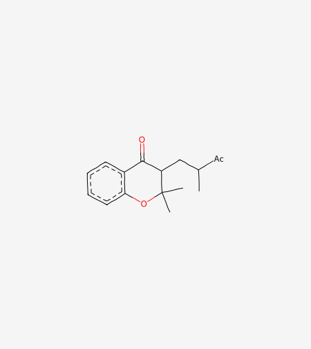 CC(=O)C(C)CC1C(=O)c2ccccc2OC1(C)C